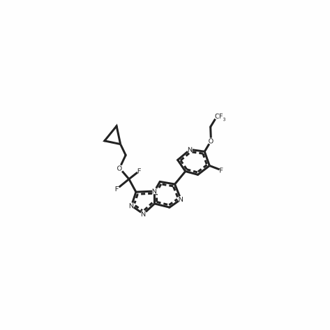 Fc1cc(-c2cn3c(C(F)(F)OCC4CC4)nnc3cn2)cnc1OCC(F)(F)F